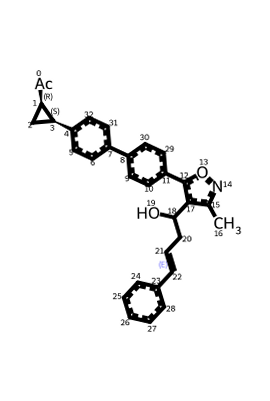 CC(=O)[C@@H]1C[C@@H]1c1ccc(-c2ccc(-c3onc(C)c3C(O)C/C=C/c3ccccc3)cc2)cc1